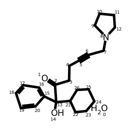 O.O=C(CCC#CCN1CCCC1)C(O)(c1ccccc1)C1CCCCC1